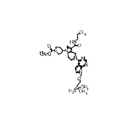 CC(C)(C)OC(=O)N1CCC(n2nc(C(=O)NCCC(F)(F)F)c3c2CCN(c2ncnc4c2ccn4COCC[Si](C)(C)C)C3)CC1